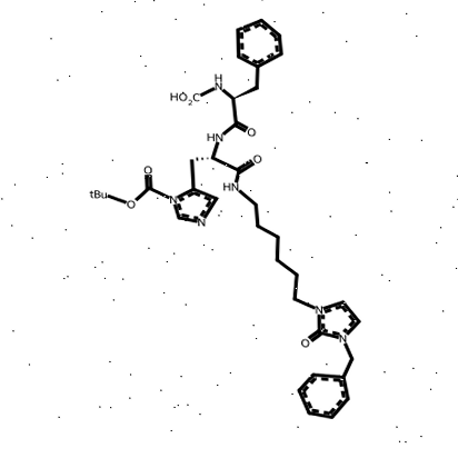 CC(C)(C)OC(=O)n1cncc1C[C@H](NC(=O)[C@H](Cc1ccccc1)NC(=O)O)C(=O)NCCCCCCn1ccn(Cc2ccccc2)c1=O